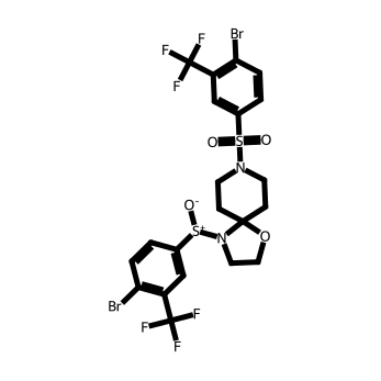 O=S(=O)(c1ccc(Br)c(C(F)(F)F)c1)N1CCC2(CC1)OCCN2[S+]([O-])c1ccc(Br)c(C(F)(F)F)c1